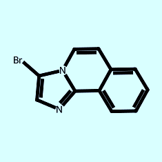 Brc1cnc2c3ccccc3ccn12